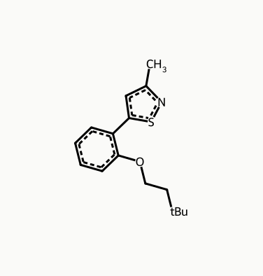 Cc1cc(-c2ccccc2OCCC(C)(C)C)sn1